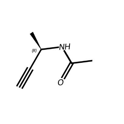 C#C[C@@H](C)NC(C)=O